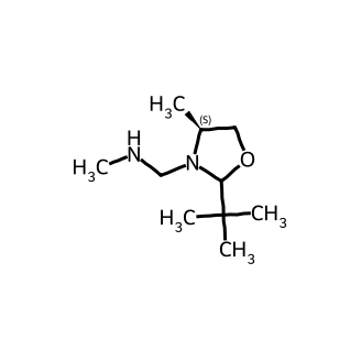 CNCN1C(C(C)(C)C)OC[C@@H]1C